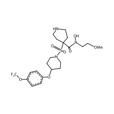 COCCN(O)C(=O)C1(S(=O)(=O)N2CCC(Oc3ccc(OC(F)(F)F)cc3)CC2)CCNCC1